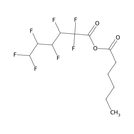 CCCCCC(=O)OC(=O)C(F)(F)C(F)C(F)C(F)C(F)F